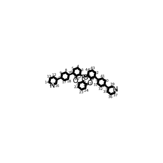 O=P12c3cccc(-c4ccc(-c5cccnc5)cc4)c3Oc3cccc(c31)Oc1c(-c3ccc(-c4cccnc4)cc3)cccc12